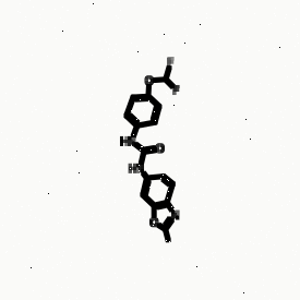 Cc1nc2ccc(NC(=O)Nc3ccc(OC(F)F)cc3)cc2o1